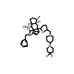 CC(C)C1=CC2CC3(C=O)[C@@H]4CC[C@@H](C)[C@H]4CC2(C2CCC(CN4CCC(N5CCC(F)(F)CC5)CC4)O2)C13C(=O)OCc1ccccc1